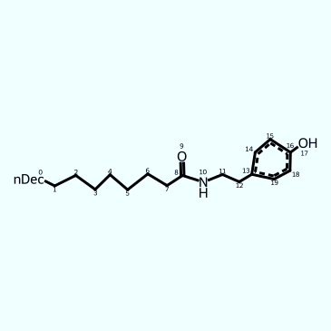 CCCCCCCCCCCCCCCCCC(=O)NCCc1ccc(O)cc1